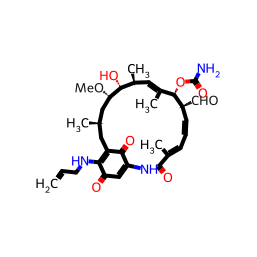 C=CCNC1=C2C[C@@H](C)C[C@H](OC)[C@H](O)[C@@H](C)/C=C(\C)[C@H](OC(N)=O)[C@@H](C=O)/C=C\C=C(/C)C(=O)NC(=CC1=O)C2=O